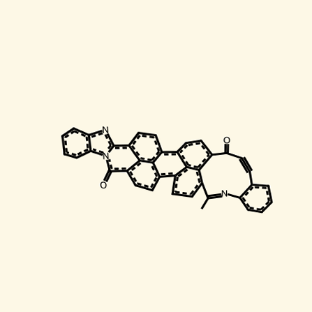 C/C1=N\c2ccccc2C#CC(=O)c2ccc3c4ccc5c6c(ccc(c7ccc1c2c73)c46)c(=O)n1c2ccccc2nc51